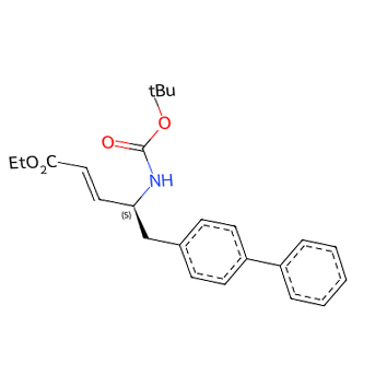 CCOC(=O)C=C[C@H](Cc1ccc(-c2ccccc2)cc1)NC(=O)OC(C)(C)C